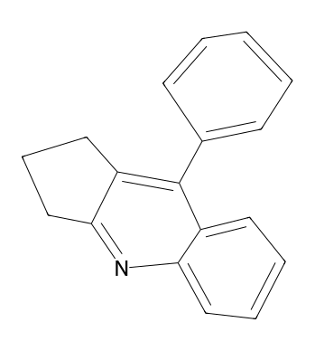 c1ccc(-c2c3c(nc4ccccc24)CCC3)cc1